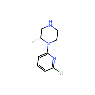 C[C@@H]1CNCCN1c1cccc(Cl)n1